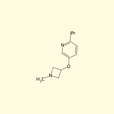 CC(C)c1ccc(OC2CN(C)C2)cn1